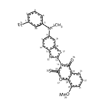 CCc1cccc(N(C)c2ccc3nc(-n4c(=S)oc5c(OC)ccnc5c4=O)sc3c2)c1